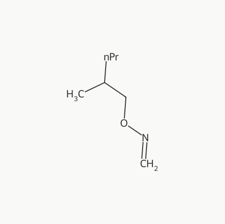 C=NOCC(C)CCC